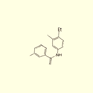 C=C(Nc1ccc(CC)c(C)c1)c1cccc(C)c1